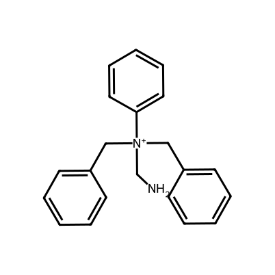 NC[N+](Cc1ccccc1)(Cc1ccccc1)c1ccccc1